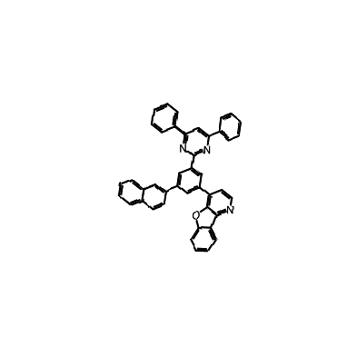 c1ccc(-c2cc(-c3ccccc3)nc(-c3cc(-c4ccc5ccccc5c4)cc(-c4ccnc5c4oc4ccccc45)c3)n2)cc1